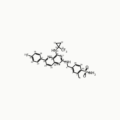 Cc1cc(CNc2nc(NC3(C(F)(F)F)CC3)c3nc(-c4ccc(F)cc4)ccc3n2)ccc1S(N)(=O)=O